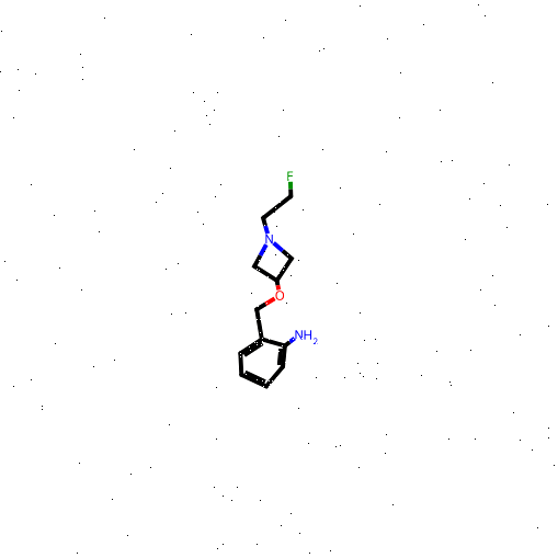 Nc1ccccc1COC1CN(CCF)C1